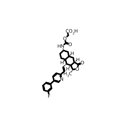 C[C@H]1OC(=O)[C@@H]2C[C@@H]3C[C@@H](NC(=O)OCC(=O)O)CC[C@H]3[C@H](/C=C/c3ccc(-c4cccc(F)c4)cn3)[C@H]12